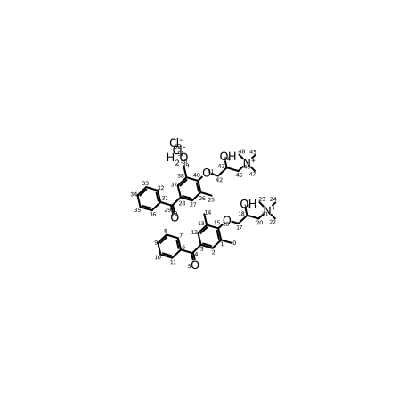 Cc1cc(C(=O)c2ccccc2)cc(C)c1OCC(O)C[N+](C)(C)C.Cc1cc(C(=O)c2ccccc2)cc(C)c1OCC(O)C[N+](C)(C)C.O.[Cl-].[Cl-]